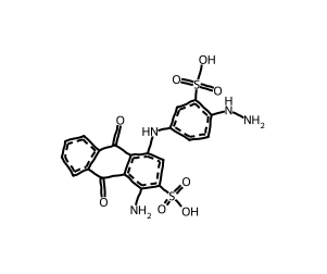 NNc1ccc(Nc2cc(S(=O)(=O)O)c(N)c3c2C(=O)c2ccccc2C3=O)cc1S(=O)(=O)O